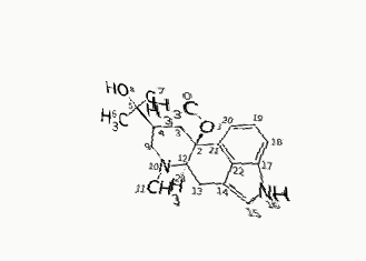 CO[C@]12C[C@H](C(C)(C)O)CN(C)[C@@H]1Cc1c[nH]c3cccc2c13